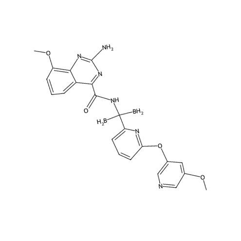 BC(B)(NC(=O)c1nc(N)nc2c(OC)cccc12)c1cccc(Oc2cncc(OC)c2)n1